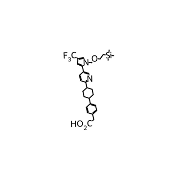 C[Si](C)(C)CCOCn1cc(C(F)(F)F)cc1-c1ccc(C2CCC(c3ccc(CC(=O)O)cc3)CC2)nc1